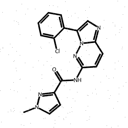 Cn1ccc(C(=O)Nc2ccc3ncc(-c4ccccc4Cl)n3n2)n1